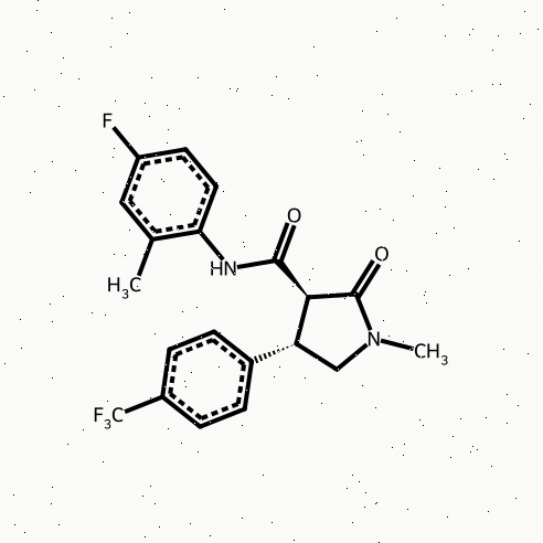 Cc1cc(F)ccc1NC(=O)[C@H]1C(=O)N(C)C[C@@H]1c1ccc(C(F)(F)F)cc1